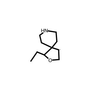 CCC1OC[CH]C12CCNCC2